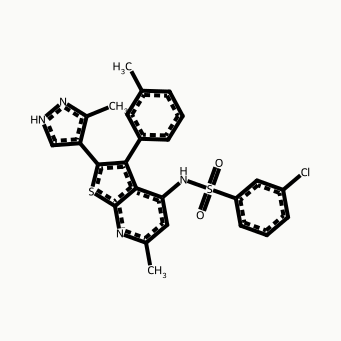 Cc1cccc(-c2c(-c3c[nH]nc3C)sc3nc(C)cc(NS(=O)(=O)c4cccc(Cl)c4)c23)c1